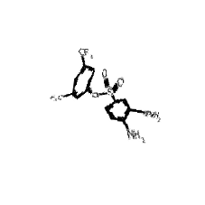 Nc1ccc(S(=O)(=O)Oc2cc(C(F)(F)F)cc(C(F)(F)F)c2)cc1N